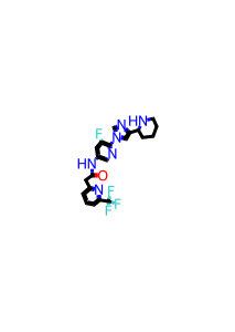 O=C(Cc1cccc(C(F)(F)F)n1)Nc1cnc(-n2cnc(C3CCCCN3)c2)c(F)c1